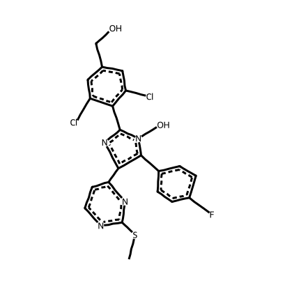 CSc1nccc(-c2nc(-c3c(Cl)cc(CO)cc3Cl)n(O)c2-c2ccc(F)cc2)n1